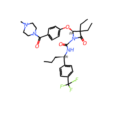 CCC[C@@H](NC(=O)N1C(=O)C(CC)(CC)[C@@H]1Oc1ccc(C(=O)N2CCN(C)CC2)cc1)c1ccc(C(F)(F)F)cc1